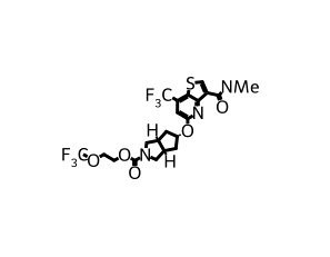 CNC(=O)c1csc2c(C(F)(F)F)cc(O[C@@H]3C[C@@H]4CN(C(=O)OCCOC(F)(F)F)C[C@@H]4C3)nc12